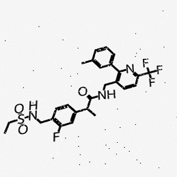 CCS(=O)(=O)NCc1ccc(C(C)C(=O)NCc2ccc(C(F)(F)F)nc2-c2cccc(C)c2)cc1F